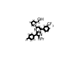 CCCc1nn2c(-c3cccc(C(F)(F)F)c3)cc(N3CCC[C@H]3CO)nc2c1-c1ccc(C)cc1